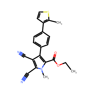 CCOC(=O)c1c(-c2ccc(-c3ccsc3C)cc2)c(C#N)c(C#N)n1C